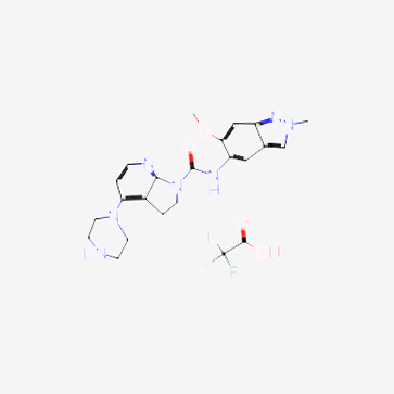 COc1cc2nn(C)cc2cc1NC(=O)N1CCc2c(N3CCN[C@@H](C)C3)ccnc21.O=C(O)C(F)(F)F